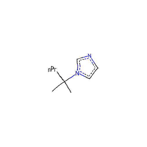 CCCC(C)(C)n1ccnc1